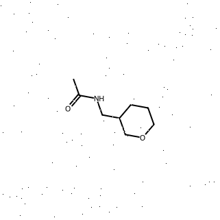 CC(=O)NCC1CCCOC1